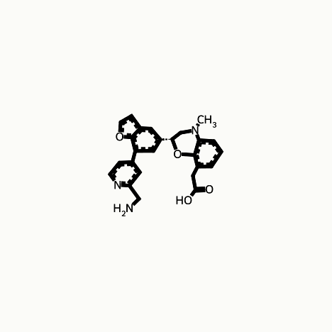 CN1C[C@@H](c2cc(-c3ccnc(CN)c3)c3occc3c2)Oc2c(CC(=O)O)cccc21